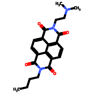 CCCCN1C(=O)c2ccc3c4c(ccc(c24)C1=O)C(=O)N(CCN(C)C)C3=O